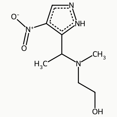 CC(c1[nH]ncc1[N+](=O)[O-])N(C)CCO